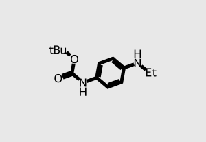 CCNc1ccc(NC(=O)OC(C)(C)C)cc1